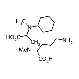 CC(C(=O)O)N(C)C1CCCCC1.CN[C@H](CCCN)C(=O)O